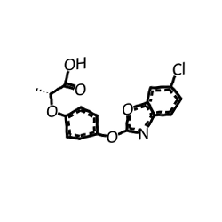 C[C@@H](Oc1ccc(Oc2nc3ccc(Cl)cc3o2)cc1)C(=O)O